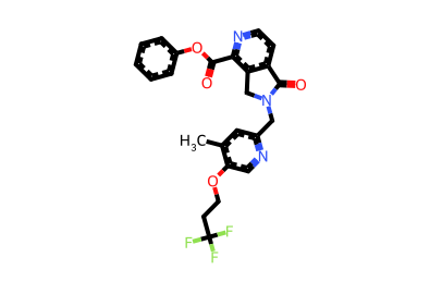 Cc1cc(CN2Cc3c(ccnc3C(=O)Oc3ccccc3)C2=O)ncc1OCCC(F)(F)F